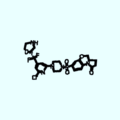 O=C1CCC2COc3cc(S(=O)(=O)N4CCN(c5cc(C(F)(F)[C@H]6CNCCO6)cc(Cl)n5)CC4)ccc3N12